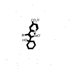 O=C(O)c1cc[n+]2[se]c(C3(O)CCCCC3)c(Br)c2c1.[Cl-]